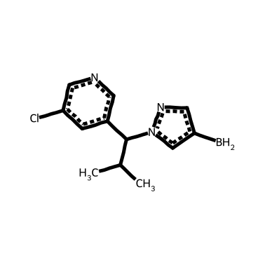 Bc1cnn(C(c2cncc(Cl)c2)C(C)C)c1